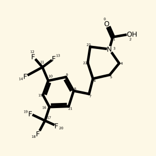 O=C(O)N1CCC(Cc2cc(C(F)(F)F)cc(C(F)(F)F)c2)CC1